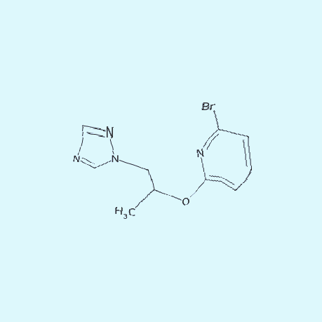 CC(Cn1cncn1)Oc1cccc(Br)n1